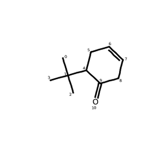 CC(C)(C)C1CC=CCC1=O